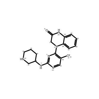 O=C1CN(c2nc(NC3CCCNC3)ncc2C(F)(F)F)c2ccccc2N1